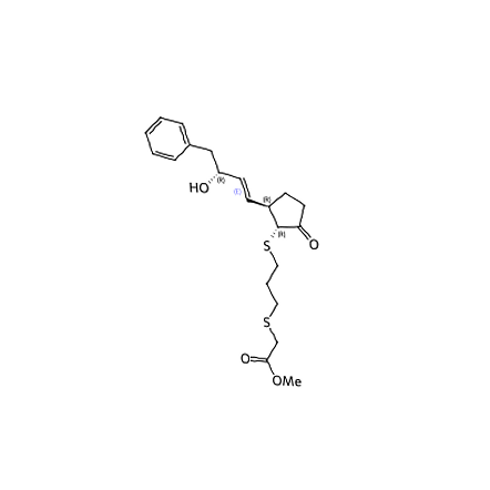 COC(=O)CSCCCS[C@H]1C(=O)CC[C@@H]1/C=C/[C@H](O)Cc1ccccc1